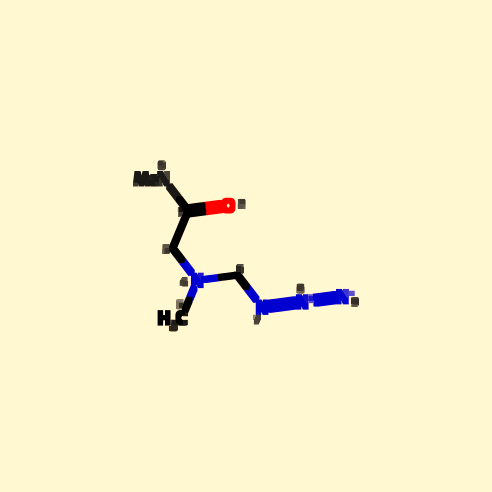 CNC(=O)CN(C)CN=[N+]=[N-]